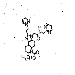 CC1CCc2c(ccc3c2nc(CCn2cccn2)n3CC(=O)NCc2ncccn2)N1C(=O)O